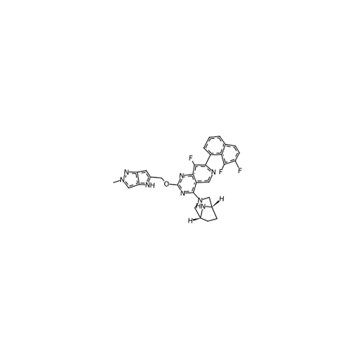 Cn1cc2[nH]c(COc3nc(N4C[C@H]5CC[C@@H](C4)N5)c4cnc(-c5cccc6ccc(F)c(F)c56)c(F)c4n3)cc2n1